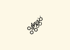 Cc1cccc(N2CCN(c3cn(C(c4ccccc4)(c4ccccc4)c4ccccc4)cn3)C(=O)C2=O)c1C